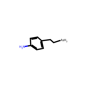 Nc1ccc(CC[AsH2])cc1